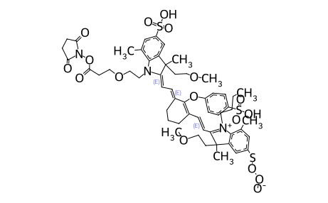 CCCC[N+]1=C(/C=C/C2=C(Oc3ccc(S(=O)(=O)O)cc3)C(=C/C=C3/N(CCOCCC(=O)ON4C(=O)CCC4=O)c4c(C)cc(S(=O)(=O)O)cc4C3(C)CCOC)/CCC2)C(C)(CCOC)c2cc(SOO[O-])cc(C)c21